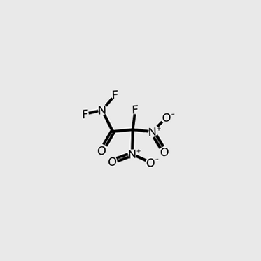 O=C(N(F)F)C(F)([N+](=O)[O-])[N+](=O)[O-]